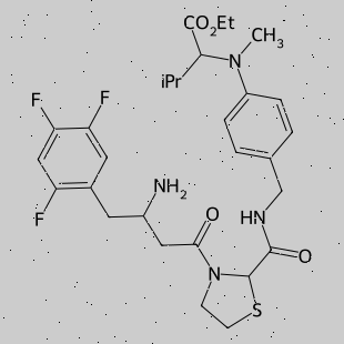 CCOC(=O)C(C(C)C)N(C)c1ccc(CNC(=O)C2SCCN2C(=O)CC(N)Cc2cc(F)c(F)cc2F)cc1